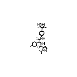 Cc1n[nH]c(C)c1-c1ccc(NC(=O)[C@@H](NC(=O)c2ccnn2C(C)C)C2CCC(C)CC2)cn1